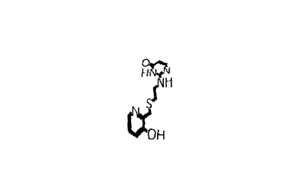 O=c1ccnc(NCCSCc2ncccc2O)[nH]1